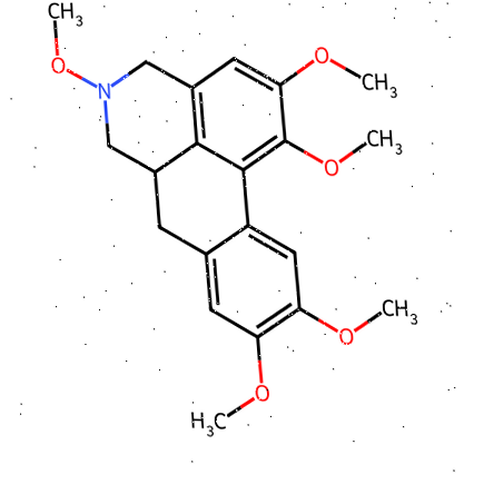 COc1cc2c(cc1OC)-c1c(OC)c(OC)cc3c1C(C2)CN(OC)C3